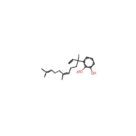 C=CC(C)(CCC=C(C)CCC=C(C)C)c1cccc(O)c1O